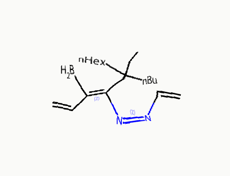 B/C(C=C)=C(/N=N\C=C)C(C)(CCCC)CCCCCC